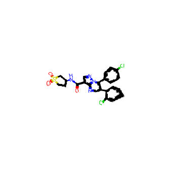 O=C(N[C@H]1CCS(=O)(=O)C1)c1cnn2c(-c3ccc(Cl)cc3)c(-c3ccccc3Cl)cnc12